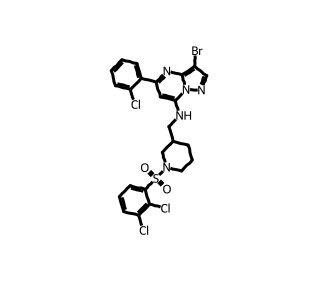 O=S(=O)(c1cccc(Cl)c1Cl)N1CCCC(CNc2cc(-c3ccccc3Cl)nc3c(Br)cnn23)C1